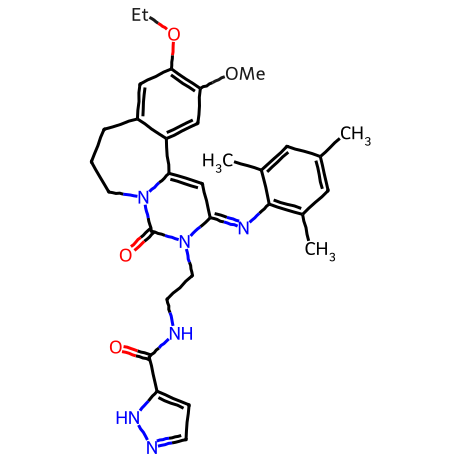 CCOc1cc2c(cc1OC)-c1c/c(=N\c3c(C)cc(C)cc3C)n(CCNC(=O)c3ccn[nH]3)c(=O)n1CCC2